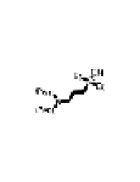 CCCC(C)N(C/C=C/[N+](O)(CC)CC)C(C)CCC